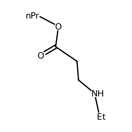 CCCOC(=O)CCNCC